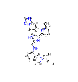 Cc1cccc(-c2nc(CNc3cccc4c3CN(C(C)C)CC4)[nH]c2-c2ccc3ncnn3c2)n1